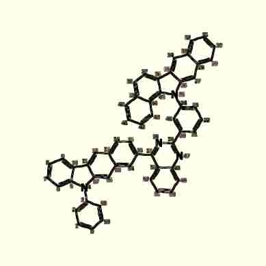 c1ccc(-n2c3ccccc3c3cc4ccc(-c5nc(-c6cccc(-n7c8cc9ccccc9cc8c8ccc9ccccc9c87)c6)nc6ccccc56)cc4cc32)cc1